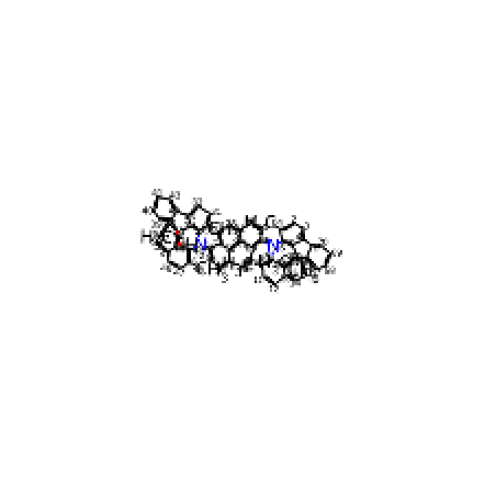 Cc1ccc2c(c1N(c1c(C)ccc3ccccc13)c1ccc3ccc4c(N(c5c(C)ccc6c5C(C)(C)c5ccccc5-6)c5c(C)ccc6ccccc56)ccc5ccc1c3c54)C(C)(C)c1ccccc1-2